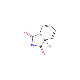 [2H]C12C=CC=CC1C(=O)NC2=O